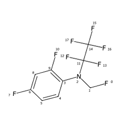 FCN(c1ccc(F)cc1F)C(F)(F)C(F)(F)F